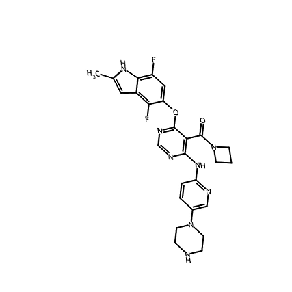 Cc1cc2c(F)c(Oc3ncnc(Nc4ccc(N5CCNCC5)cn4)c3C(=O)N3CCC3)cc(F)c2[nH]1